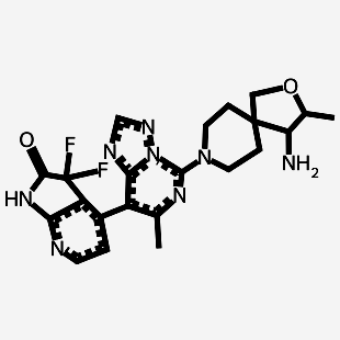 Cc1nc(N2CCC3(CC2)COC(C)C3N)n2ncnc2c1-c1ccnc2c1C(F)(F)C(=O)N2